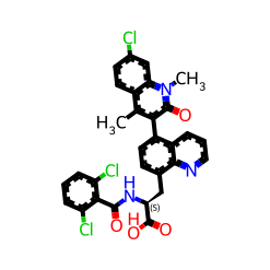 Cc1c(-c2ccc(C[C@H](NC(=O)c3c(Cl)cccc3Cl)C(=O)O)c3ncccc23)c(=O)n(C)c2cc(Cl)ccc12